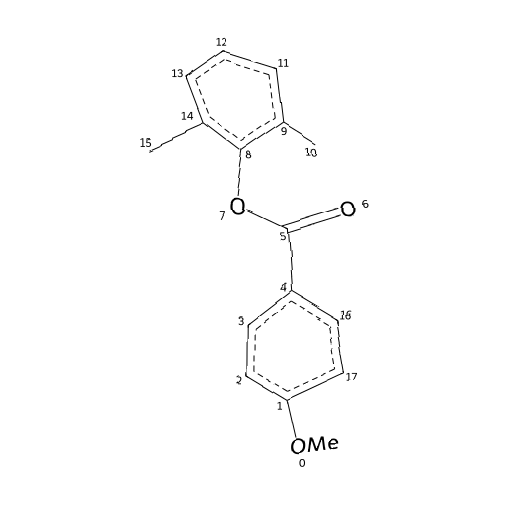 COc1ccc(C(=O)Oc2c(C)cccc2C)cc1